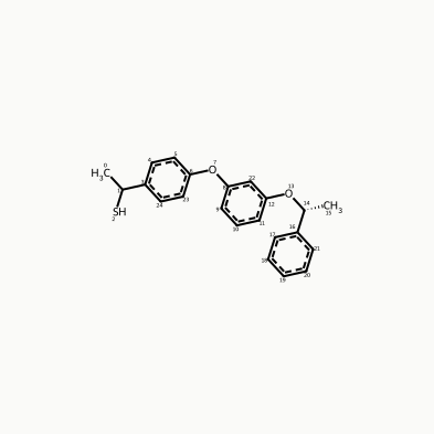 CC(S)c1ccc(Oc2cccc(O[C@H](C)c3ccccc3)c2)cc1